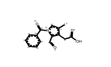 O=Cc1c(CC(=O)O)c(I)cn1C(=O)c1ccccc1